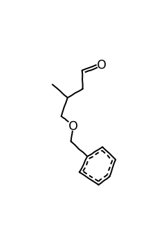 CC(CC=O)COCc1ccccc1